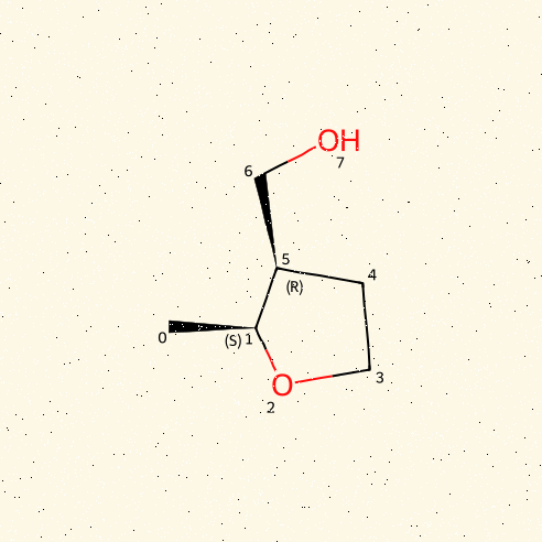 C[C@@H]1OCC[C@@H]1CO